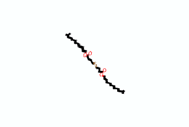 CC(C)CCCCCCCCCCOC(=O)CCCSCCCC(=O)OCCCCCCCCCCC(C)C